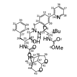 COC(=O)N[C@H](C(=O)NN(Cc1ccc(-c2ccccn2)cc1)C[C@@H](O)[C@H](Cc1ccccc1)NC(=O)OC1C2COC3OCC1[C@H](C)C32)C(C)(C)C